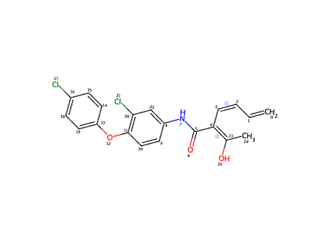 C=C/C=C\C(C(=O)Nc1ccc(Oc2ccc(Cl)cc2)c(Cl)c1)=C(/C)O